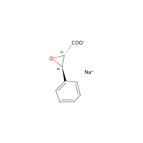 O=C([O-])[C@H]1O[C@@H]1c1ccccc1.[Na+]